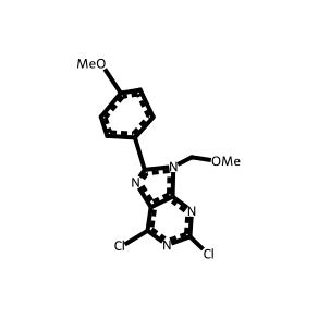 COCn1c(-c2ccc(OC)cc2)nc2c(Cl)nc(Cl)nc21